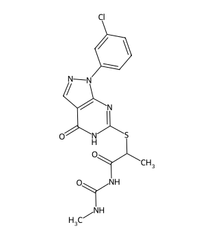 CNC(=O)NC(=O)C(C)Sc1nc2c(cnn2-c2cccc(Cl)c2)c(=O)[nH]1